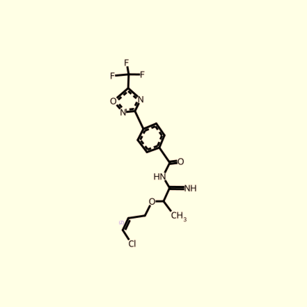 CC(OC/C=C\Cl)C(=N)NC(=O)c1ccc(-c2noc(C(F)(F)F)n2)cc1